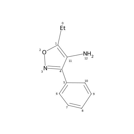 CCc1onc(-c2ccccc2)c1N